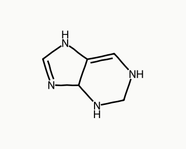 C1=NC2NCNC=C2N1